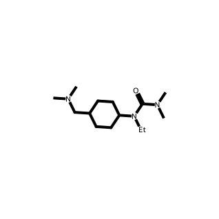 CCN(C(=O)N(C)C)C1CCC(CN(C)C)CC1